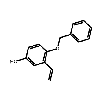 C=Cc1cc(O)ccc1OCc1ccccc1